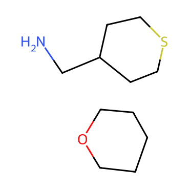 C1CCOCC1.NCC1CCSCC1